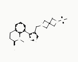 CCS(=O)(=O)N1CC2(CN(Cc3c[nH]nc3-c3cccc4c3N(C)C(=O)CC4)C2)C1